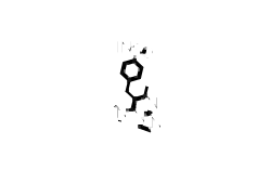 Cc1nc2nccn2c(N(C)C)c1Cc1ccc([S@@](C)(=N)=O)cc1